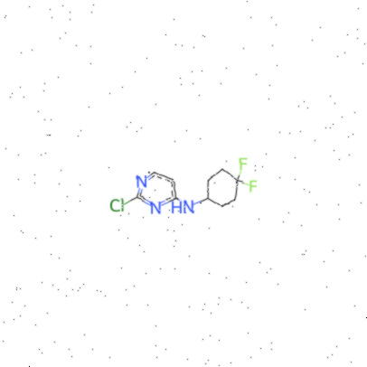 FC1(F)CCC(Nc2c[c]nc(Cl)n2)CC1